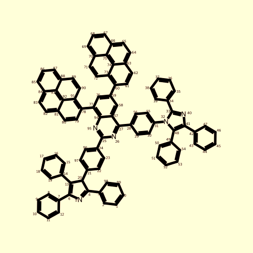 c1ccc(C2=NC(c3ccccc3)=C(c3ccccc3)C2c2ccc(-c3nc(-c4ccc(-n5c(-c6ccccc6)nc(-c6ccccc6)c5-c5ccccc5)cc4)c4cc(-c5ccc6ccc7cccc8ccc5c6c78)cc(-c5ccc6ccc7cccc8ccc5c6c78)c4n3)cc2)cc1